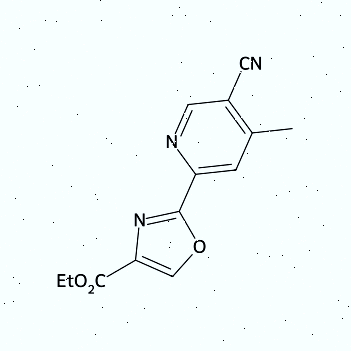 CCOC(=O)c1coc(-c2cc(C)c(C#N)cn2)n1